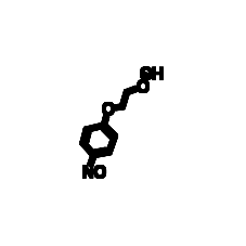 O=Nc1ccc(OCCOO)cc1